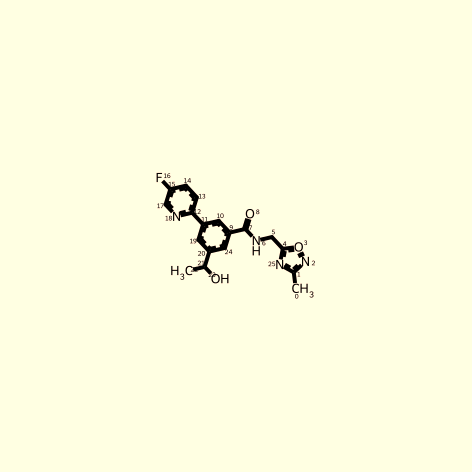 Cc1noc(CNC(=O)c2cc(-c3ccc(F)cn3)cc(C(C)O)c2)n1